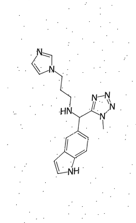 Cn1nnnc1C(NCCCn1ccnc1)c1ccc2[nH]ccc2c1